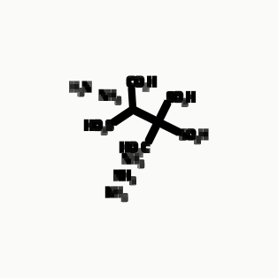 N.N.N.N.N.O=C(O)C(C(C(=O)O)(S(=O)(=O)O)S(=O)(=O)O)S(=O)(=O)O